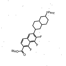 CCCCCC1CCC2CC(c3cc4ccc(C(=O)OC)c(F)c4c(F)c3F)CCC2C1